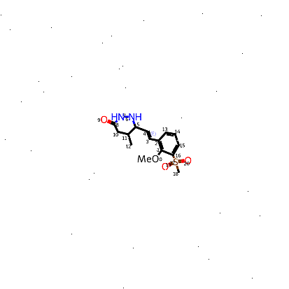 COc1c(/C=C/C2NNC(=O)CC2C)cccc1S(C)(=O)=O